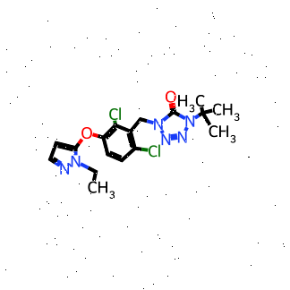 CCn1nccc1Oc1ccc(Cl)c(Cn2nnn(C(C)(C)C)c2=O)c1Cl